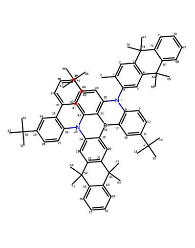 Cc1cc2c(cc1N1c3ccc(C(C)(C)C)cc3B3c4cc5c(cc4N(c4ccc(C(C)(C)C)cc4-c4ccccc4)c4cc(C(C)(C)C)cc1c43)C(C)(C)c1ccccc1C5(C)C)C(C)(C)c1ccccc1C2(C)C